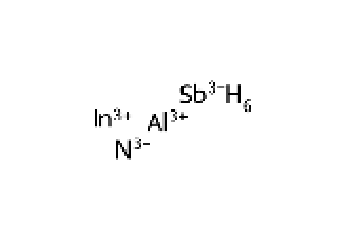 [Al+3].[In+3].[N-3].[SbH6-3]